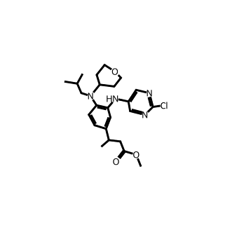 COC(=O)CC(C)c1ccc(N(CC(C)C)C2CCOCC2)c(Nc2cnc(Cl)nc2)c1